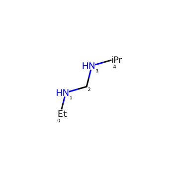 CCNCNC(C)C